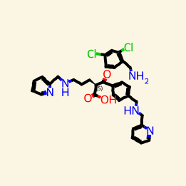 NCc1ccc(Cl)cc1Cl.O=C(O)[C@@H](CCCNCc1ccccn1)C(=O)c1ccc(CNCc2ccccn2)cc1